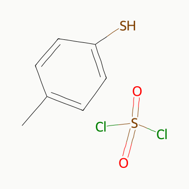 Cc1ccc(S)cc1.O=S(=O)(Cl)Cl